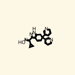 O/N=C(/c1n[nH]c2c1C=CC(c1cccnc1)(c1cccnc1)C2)C1CC1